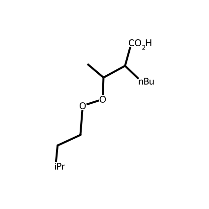 CCCCC(C(=O)O)C(C)OOCCC(C)C